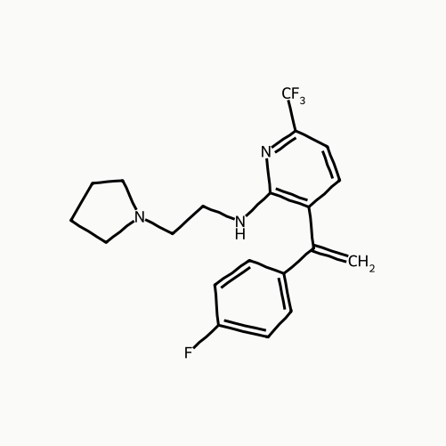 C=C(c1ccc(F)cc1)c1ccc(C(F)(F)F)nc1NCCN1CCCC1